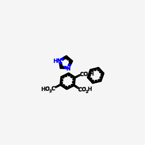 O=C(O)c1ccc(C(=O)O)c(C(=O)O)c1.c1c[nH]cn1.c1ccccc1